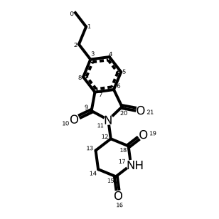 CCCc1ccc2c(c1)C(=O)N(C1CCC(=O)NC1=O)C2=O